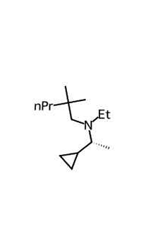 CCCC(C)(C)CN(CC)[C@H](C)C1CC1